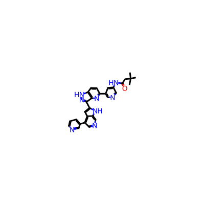 CC(C)(C)CC(=O)Nc1cncc(-c2ccc3[nH]nc(-c4cc5c(-c6cccnc6)cncc5[nH]4)c3n2)c1